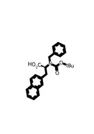 CC(C)(C)OC(=O)N(Cc1ccccc1)[C@@H](Cc1ccc2ccccc2c1)C(=O)O